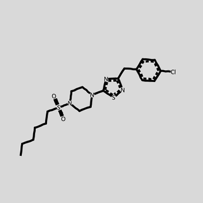 CCCCCCS(=O)(=O)N1CCN(c2nc(Cc3ccc(Cl)cc3)ns2)CC1